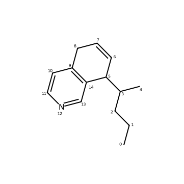 CCCC(C)C1C=CCc2ccncc21